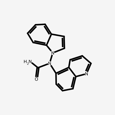 NC(=O)N(c1cccc2ncccc12)n1ccc2ccccc21